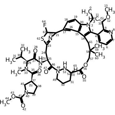 CCn1c(-c2cccnc2[C@H](C)OC)c2c3cc(ccc31)C1N=C(C[C@H](NC(=O)[C@H](C(C)C)N(C)C(=O)[C@H]3CCN(C(=O)OC)C3)C(=O)N3CCC[C@H](N3)C(=O)OCC(C)(C)C2)SC1F